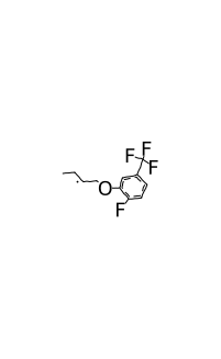 CC[CH]COc1cc(C(F)(F)F)ccc1F